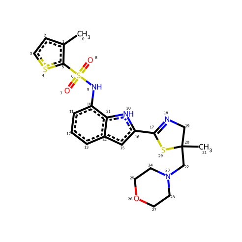 Cc1ccsc1S(=O)(=O)Nc1cccc2cc(C3=NCC(C)(CN4CCOCC4)S3)[nH]c12